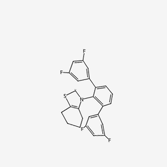 Fc1cc(F)cc(-c2cccc(-c3cc(F)cc(F)c3)c2N2[C]SC3=C2CCCC3)c1